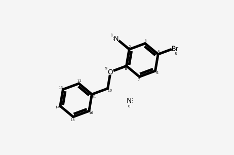 [N].[N]c1cc(Br)ccc1OCc1ccccc1